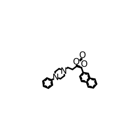 O=c1oc(CCN2CCN(c3ccccc3)CC2)c(-c2ccc3ccccc3c2)o1